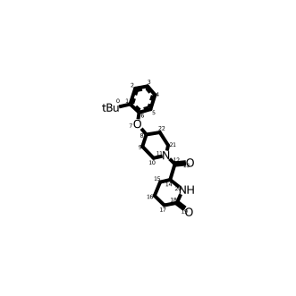 CC(C)(C)c1ccccc1OC1CCN(C(=O)C2CCCC(=O)N2)CC1